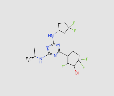 C[C@@H](Nc1nc(N[C@@H]2CCC(F)(F)C2)nc(C2=C(F)C(O)C(F)(F)CC2)n1)C(F)(F)F